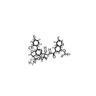 Cc1cnc2c(OC(F)F)cc(C(=O)NC[C@](O)(c3cc4c(c(-c5ccc(F)cc5Cl)n3)OC[C@]4(C)C(N)=O)C3(F)CC3)cc2c1